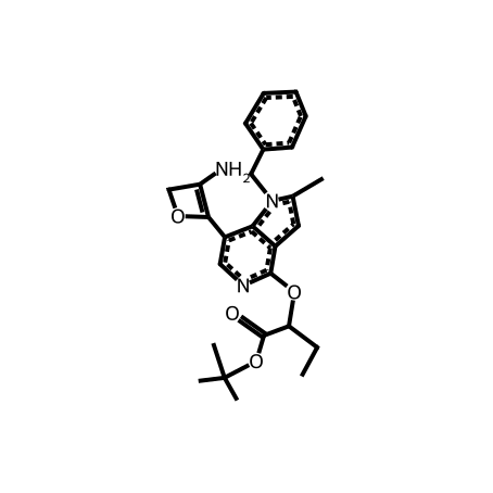 CCC(Oc1ncc(C2=C(N)CO2)c2c1cc(C)n2Cc1ccccc1)C(=O)OC(C)(C)C